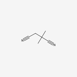 CC(C)(C#N)CC#N